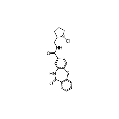 O=C(NCC1CCCN1Cl)c1ccc2c(c1)NC(=O)c1ccccc1S2